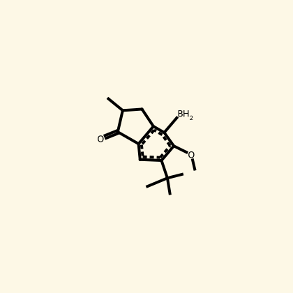 Bc1c2c(cc(C(C)(C)C)c1OC)C(=O)C(C)C2